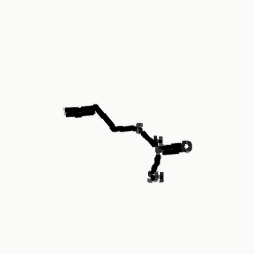 C=CCS[PH](=O)S